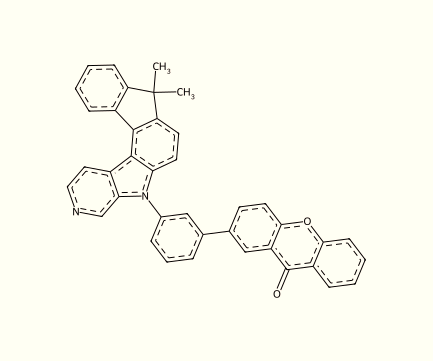 CC1(C)c2ccccc2-c2c1ccc1c2c2ccncc2n1-c1cccc(-c2ccc3oc4ccccc4c(=O)c3c2)c1